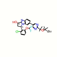 CC(C)(O[Si](C)(C)C(C)(C)C)c1ncc(-c2ccc3nc4n(c3c2)[C@@H](c2c(Cl)cccc2OC(F)F)C[C@H]4O)cn1